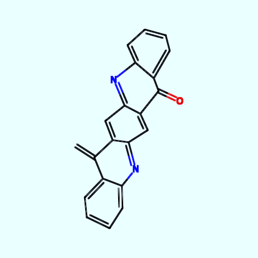 C=c1c2ccccc2nc2cc3c(cc12)=Nc1ccccc1C3=O